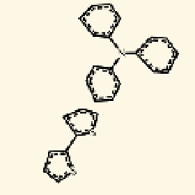 c1ccc(N(c2ccccc2)c2ccccc2)cc1.c1csc(-c2cccs2)c1